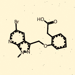 Cn1nc(COc2ccccc2CC(=O)O)c2cc(Br)cnc21